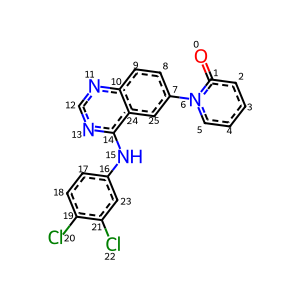 O=c1ccccn1-c1ccc2ncnc(Nc3ccc(Cl)c(Cl)c3)c2c1